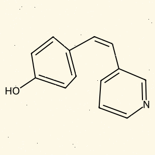 Oc1ccc(/C=C\c2cccnc2)cc1